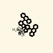 CC1=Cc2c(-c3c4ccccc4cc4ccccc34)cccc2[CH]1[Zr]([Cl])([Cl])([CH]1C(C)=Cc2c(-c3c4ccccc4cc4ccccc34)cccc21)[SiH](C)C